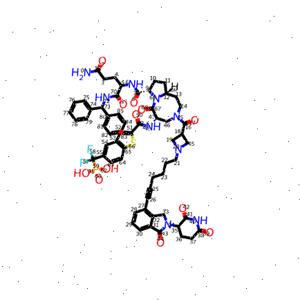 NC(=O)CCC(NC(=O)[C@@H]1CC[C@@H]2CCN(C(=O)C3CN(CCCCC#Cc4cccc5c4CN(C4CCC(=O)NC4=O)C5=O)C3)C[C@H](NC(=O)c3cc4cc(C(F)(F)P(=O)(O)O)ccc4s3)C(=O)N21)C(=O)NC(c1ccccc1)c1ccccc1